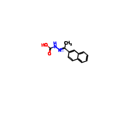 C/C(=N\NC(=O)O)c1ccc2ccccc2c1